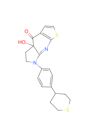 O=C1c2ccsc2N=C2N(c3ccc(C4CCSCC4)cc3)CCC12O